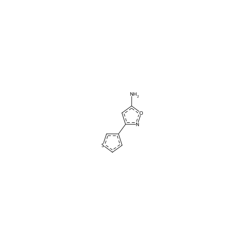 Nc1cc(-c2ccsc2)no1